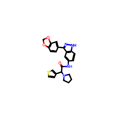 O=C(Nc1ccc2[nH]nc(-c3ccc4c(c3)OCO4)c2c1)C(c1ccsc1)N1CCCC1